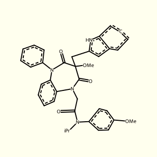 COc1ccc(N(C(=O)CN2C(=O)C(Cc3cc4ccccc4[nH]3)(OC)C(=O)N(c3ccccc3)c3ccccc32)C(C)C)cc1